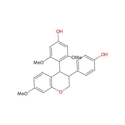 COc1ccc2c(c1)OCC(c1ccc(O)cc1)C2c1c(OC)cc(O)cc1OC